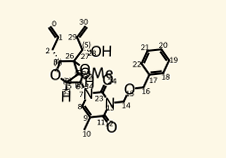 C=CC[C@H]1O[C@H]2[C@H](n3cc(C)c(=O)n(COCc4ccccc4)c3=O)OC1([C@@H](O)C=C)[C@H]2OC